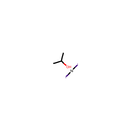 CC(C)O.[I][Ni][I]